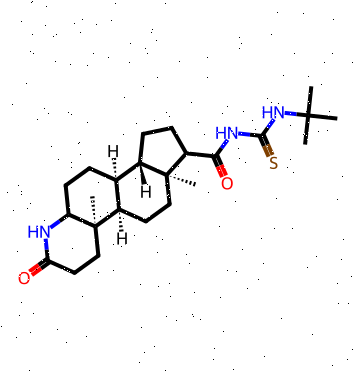 CC(C)(C)NC(=S)NC(=O)C1CC[C@H]2[C@@H]3CCC4NC(=O)CC[C@]4(C)[C@@H]3CC[C@]12C